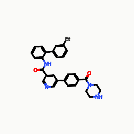 CCc1cccc(-c2ccccc2NC(=O)c2cncc(-c3ccc(C(=O)N4CCNCC4)cc3)c2)c1